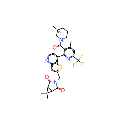 Cc1cc(C(F)(F)F)nc(-c2ccnc3cc(CN4C(=O)C5C(C4=O)C5(C)C)sc23)c1C(=O)N1CCC[C@H](C)C1